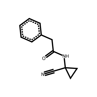 N#CC1(NC(=O)Cc2ccccc2)CC1